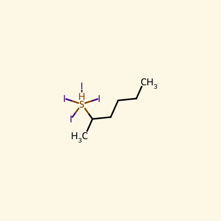 CCCCC(C)[SH](I)(I)(I)I